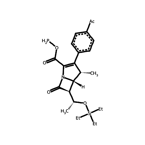 CC[Si](CC)(CC)O[C@H](C)[C@H]1C(=O)N2C(C(=O)OP)=C(c3ccc(C(C)=O)cc3)[C@H](C)[C@H]12